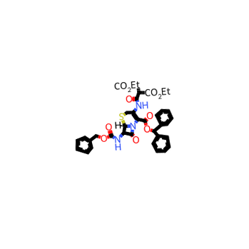 CCOC(=O)C(C(=O)NC1=C(C(=O)OC(c2ccccc2)c2ccccc2)N2C(=O)C(NC(=O)OCc3ccccc3)[C@H]2SC1)C(=O)OCC